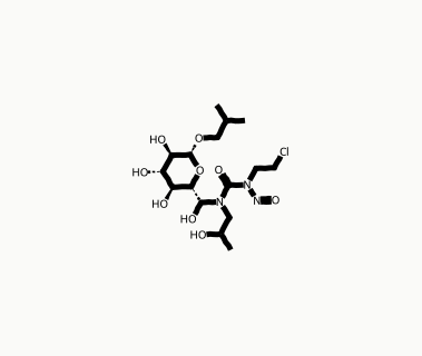 CC(C)CO[C@@H]1O[C@H](C(O)N(CC(C)O)C(=O)N(CCCl)N=O)[C@@H](O)[C@H](O)[C@H]1O